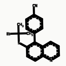 CCC(C)(C)Sc1ccc2ncccc2c1-c1ccc(C#N)cc1